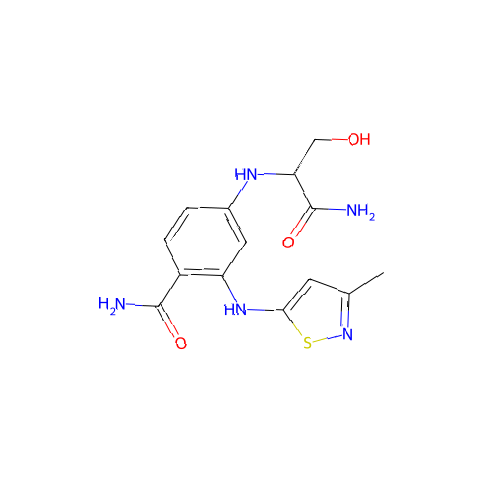 Cc1cc(Nc2cc(NC(CO)C(N)=O)ccc2C(N)=O)sn1